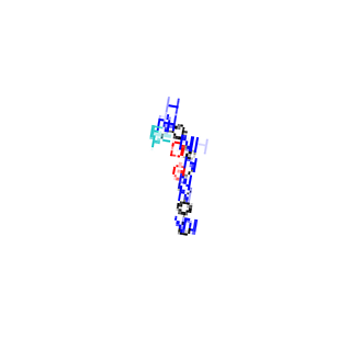 O=C(Nc1ccc2[nH]nc(C(F)(F)F)c2c1)[C@@H]1CCN(CC(=O)N2CCN(c3ccc(-c4ncccn4)cc3)CC2)C1